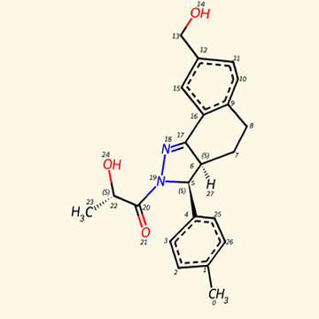 Cc1ccc([C@@H]2[C@@H]3CCc4ccc(CO)cc4C3=NN2C(=O)[C@H](C)O)cc1